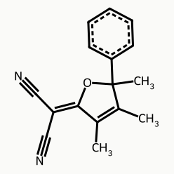 CC1=C(C)C(C)(c2ccccc2)OC1=C(C#N)C#N